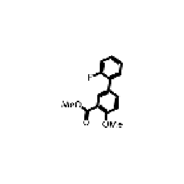 COC(=O)c1cc(-c2ccccc2F)ccc1OC